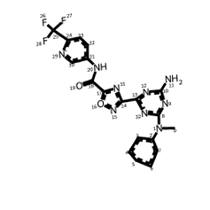 CN(c1ccccc1)c1nc(N)nc(-c2noc(C(=O)Nc3ccc(C(F)(F)F)nc3)n2)n1